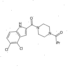 CC(C)C(=O)N1CCN(C(=O)c2cc3c(Cl)c(Cl)ccc3[nH]2)CC1